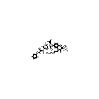 COCCCN1C(=O)C(C)(C)Oc2ccc(N(C(=O)[C@H]3CNC[C@@H](NC(=O)COc4ccccc4)C3)C3CC3)cc21